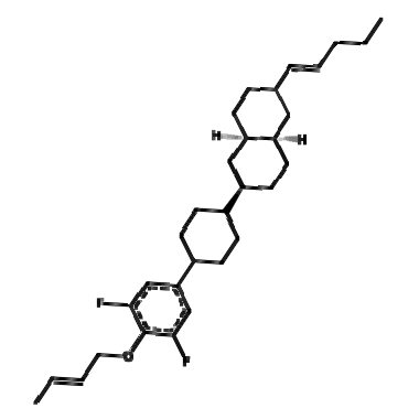 C/C=C/COc1c(F)cc(C2CCC([C@@H]3CC[C@@H]4CC(C=CCCC)CC[C@@H]4C3)CC2)cc1F